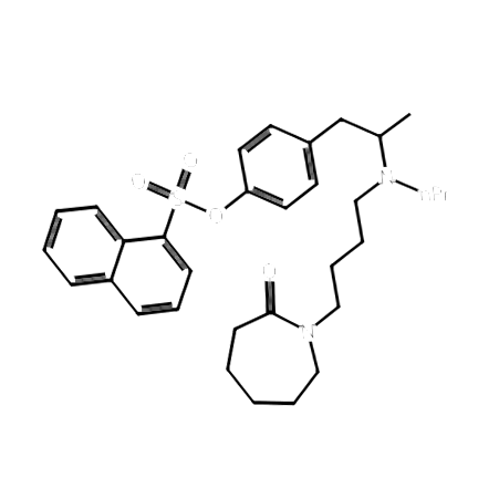 CCCN(CCCCN1CCCCCC1=O)C(C)Cc1ccc(OS(=O)(=O)c2cccc3ccccc23)cc1